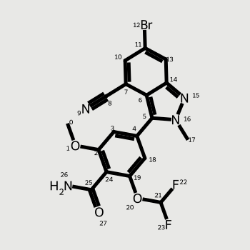 COc1cc(-c2c3c(C#N)cc(Br)cc3nn2C)cc(OC(F)F)c1C(N)=O